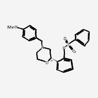 COc1ccc(CN2CCO[C@@H](c3ccccc3OS(=O)(=O)c3ccccc3)C2)cc1